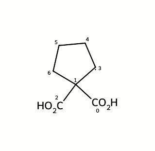 O=C(O)C1(C(=O)O)[CH]CCC1